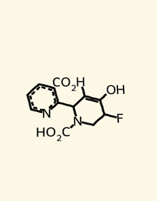 O=C(O)C1=C(O)C(F)CN(C(=O)O)C1c1ccccn1